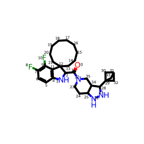 O=C(C1Nc2ccc(F)c(F)c2C12CCCCCCCCC2)N1CCC2NNC(C34CC(C3)C4)C2C1